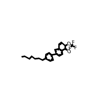 CCCCCCCc1ccc(-c2ccc3c(c2)C=CC(OC(F)(F)F)C3=O)cc1